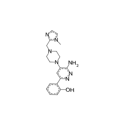 Cn1ccnc1CN1CCN(c2cc(-c3ccccc3O)nnc2N)CC1